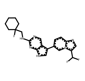 FC(F)c1cnc2ccc(-c3c[nH]c4nc(NCC5(F)CCCCC5)ncc34)cn12